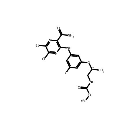 CCc1nc(C(N)=O)c(Nc2cc(F)cc(O[C@@H](C)CNC(=O)OC(C)(C)C)c2)nc1Cl